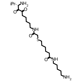 CC(C)[C@H](N)C(=O)C(=O)CCCCCNC(=O)CSCCCCCC(=O)NCCCCCN